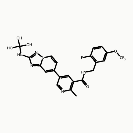 Cc1ncc(-c2ccn3nc(NC(O)(O)O)nc3c2)cc1C(=O)NCc1cc(OC(F)(F)F)ccc1F